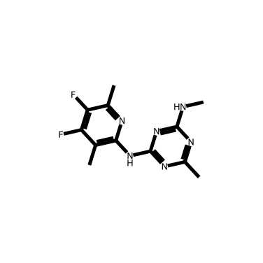 CNc1nc(C)nc(Nc2nc(C)c(F)c(F)c2C)n1